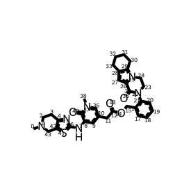 CN1CCc2nc(Nc3cc(CC(=O)OCc4ccccc4N4CCn5c(cc6c5CCCC6)C4=O)cn(C)c3=O)sc2C1